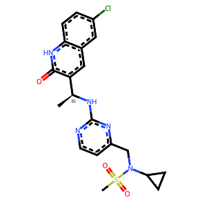 C[C@H](Nc1nccc(CN(C2CC2)S(C)(=O)=O)n1)c1cc2cc(Cl)ccc2[nH]c1=O